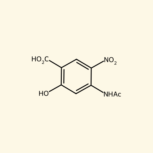 CC(=O)Nc1cc(O)c(C(=O)O)cc1[N+](=O)[O-]